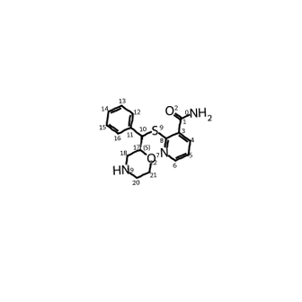 NC(=O)c1cccnc1SC(c1ccccc1)[C@@H]1CNCCO1